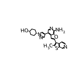 Cc1sc2cnccc2c1-c1cc2c(-c3cnn([C@H]4CC[C@H](O)CC4)c3)cnc(N)c2o1